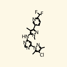 Cc1nn(-c2cc(Nc3c(C)c(-c4ccc(C(F)F)nc4)nn3C)ncn2)c(C)c1Cl